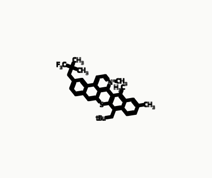 Cc1ccc2c(CC(C)(C)C)c3c(c(C)c2c1)-c1c2c(cc4ccc(CC(C)(C)C(F)(F)F)cc4c2cc[n+]1C)S3